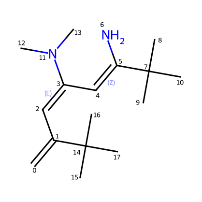 C=C(/C=C(\C=C(/N)C(C)(C)C)N(C)C)C(C)(C)C